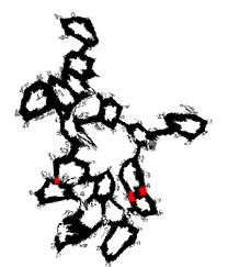 c1ccc(-c2ccc3c(c2)c2ccccc2n3-c2ccc(-c3cc(-c4ccccc4)nc(-c4ccccc4)n3)cc2-c2nc(-c3ccccc3)cc(-c3cccc(-c4ccc5c6c4N(c4ccccc4)c4ccccc4B6c4ccccc4N5c4ccccc4)c3)n2)cc1